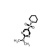 CN(C)c1ncc(S(=O)(=O)N2CCCCC2)cn1